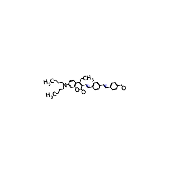 CCCCN(CCCC)c1ccc2c(CC)c(/C=C/c3ccc(/C=C/c4ccc(C=O)cc4)cc3)c(=O)oc2c1